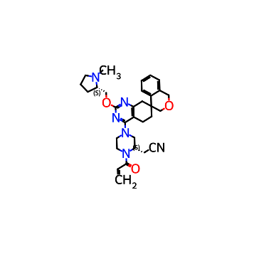 C=CC(=O)N1CCN(c2nc(OC[C@@H]3CCCN3C)nc3c2CCC2(COCc4ccccc42)C3)C[C@@H]1CC#N